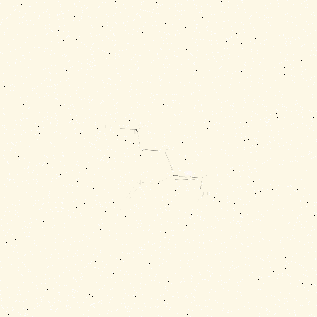 C=NO/C(=C\C)CNC(C)=O